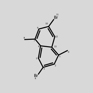 Cc1cc(Br)cc2c(C)cc(Br)cc12